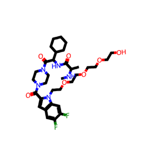 CNC(C)C(=O)NC(C(=O)N1CCN(C(=O)c2cc3cc(F)c(F)cc3n2CCOCCOCCOCCO)CC1)C1CCCCC1